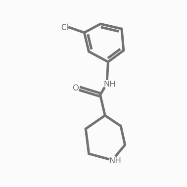 O=C(Nc1cccc(Cl)c1)C1CCNCC1